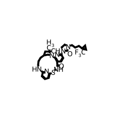 CC1(C)CC2CCCNc3cccc(n3)SNC(=O)c3ccc(N4CCN(CCCC5(C(F)(F)F)CC5)C4=O)nc3N1C2